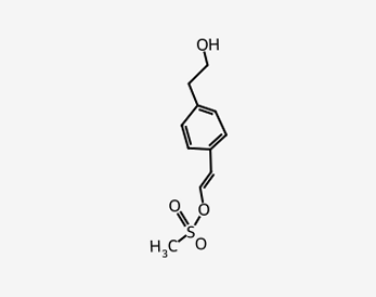 CS(=O)(=O)OC=Cc1ccc(CCO)cc1